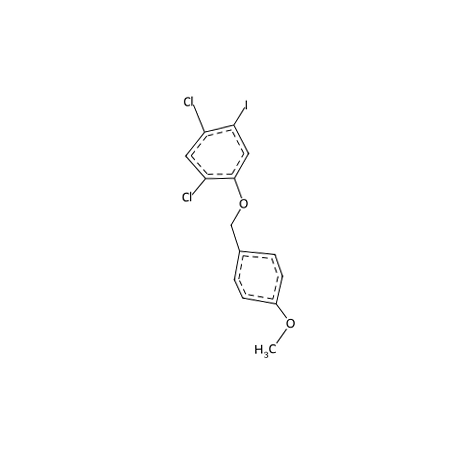 COc1ccc(COc2cc(I)c(Cl)cc2Cl)cc1